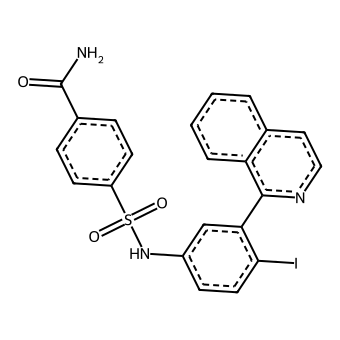 NC(=O)c1ccc(S(=O)(=O)Nc2ccc(I)c(-c3nccc4ccccc34)c2)cc1